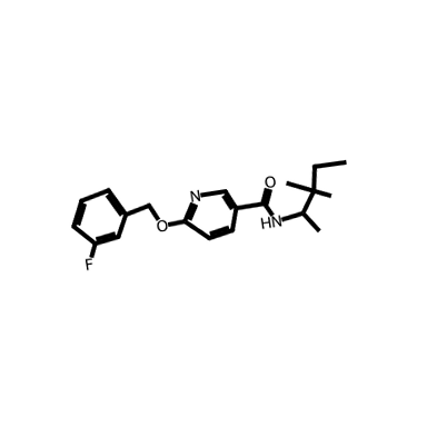 CCC(C)(C)C(C)NC(=O)c1ccc(OCc2cccc(F)c2)nc1